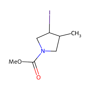 COC(=O)N1CC(C)C(I)C1